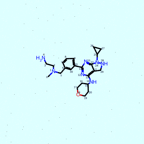 CN(CCN)Cc1cccc(-c2nc(NC3CCOCC3)c3c(n2)N(C2CC2)NC3)c1